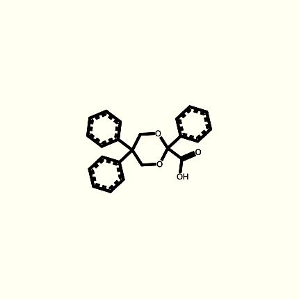 O=C(O)C1(c2ccccc2)OCC(c2ccccc2)(c2ccccc2)CO1